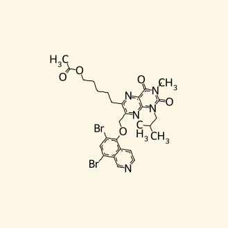 CC(=O)OCCCCCc1nc2c(=O)n(C)c(=O)n(CC(C)C)c2nc1COc1c(Br)cc(Br)c2cnccc12